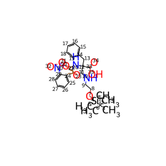 CC(C)(C)[Si](C)(C)OCCNCC(Cc1ccccc1)(NS(=O)(=O)c1ccccc1[N+](=O)[O-])C(=O)O